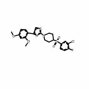 COc1ccc(-c2csc(N3CCC(S(=O)(=O)c4ccc(F)c(Cl)c4)CC3)n2)c(OC)c1